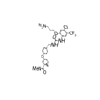 CNC(=O)c1cc(Oc2ccc(CNC(=O)Nc3cc(C(F)(F)F)c(Cl)cc3OCCCN)cc2)ccn1